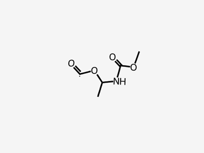 COC(=O)NC(C)O[C]=O